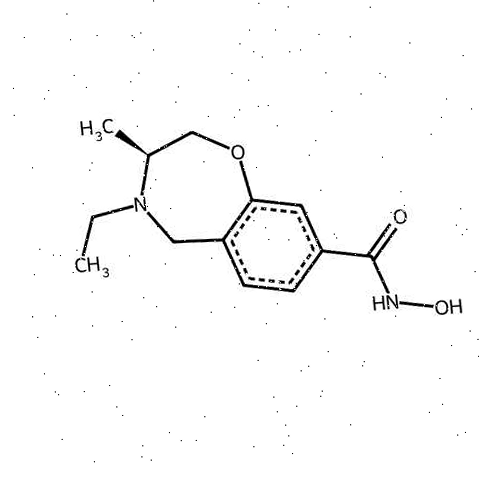 CCN1Cc2ccc(C(=O)NO)cc2OC[C@@H]1C